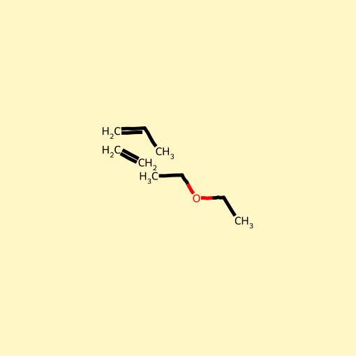 C=C.C=CC.CCOCC